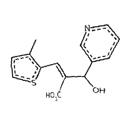 Cc1ccsc1C=C(C(=O)O)C(O)c1cccnc1